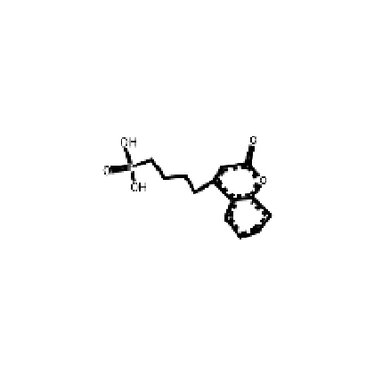 O=c1cc(CCCCP(=O)(O)O)c2ccccc2o1